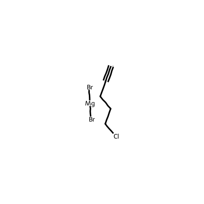 [Br][Mg][Br].[C]#CCCCCl